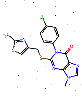 Cn1cnc2c(=O)n(-c3ccc(Cl)cc3)c(SCc3csc(C(F)(F)F)n3)nc21